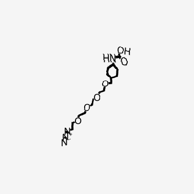 [N-]=[N+]=NCCOCCOCCOCCOCC1CCC(NC(=O)O)CC1